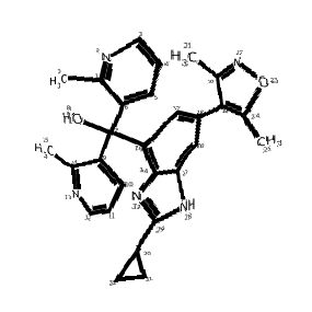 Cc1ncccc1C(O)(c1cccnc1C)c1cc(-c2c(C)noc2C)cc2[nH]c(C3CC3)nc12